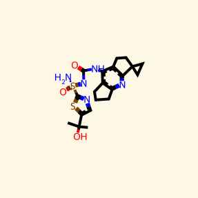 CC(C)(O)c1cnc([S@@](N)(=O)=NC(=O)Nc2c3c(nc4c2CCC42CC2)CCC3)s1